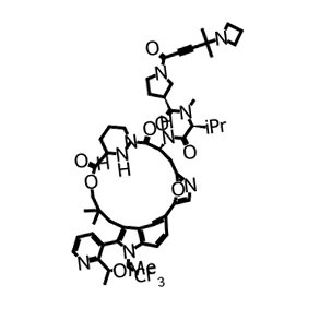 CO[C@@H](C)c1ncccc1-c1c2c3cc(ccc3n1CC(F)(F)F)-c1cnc(o1)C[C@H](NC(=O)[C@H](C(C)C)N(C)C(=O)[C@H]1CCN(C(=O)C#CC(C)(C)N3CCC3)C1)C(=O)N1CCC[C@H](N1)C(=O)OCC(C)(C)C2